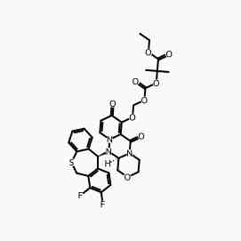 CCOC(=O)C(C)(C)OC(=O)OCOc1c2n(ccc1=O)N([C@@H]1c3ccccc3SCc3c1ccc(F)c3F)[C@@H]1COCCN1C2=O